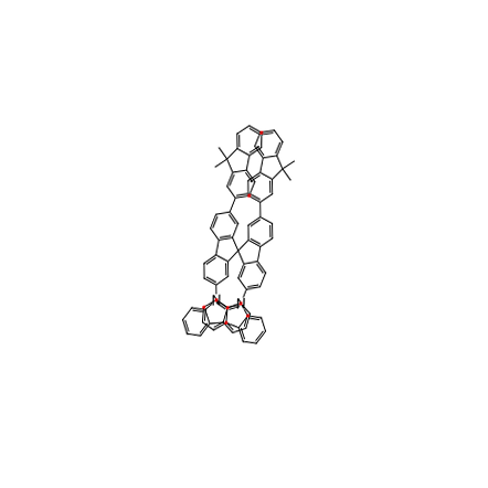 CC1(C)c2ccccc2-c2ccc(-c3ccc4c(c3)C3(c5cc(-c6ccc7c(c6)C(C)(C)c6ccccc6-7)ccc5-c5ccc(-n6c7ccccc7c7ccccc76)cc53)c3cc(-n5c6ccccc6c6ccccc65)ccc3-4)cc21